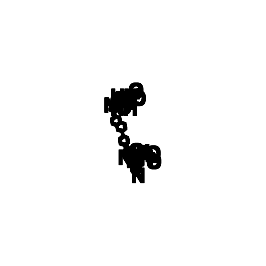 C=C1[C@@H](C#N)CN(C(=O)[C@@H](NC(=O)OC)C(C)C)[C@@H]1c1ncc(-c2ccc(-c3ccc4cc(-c5cnc([C@@H]6CCCN6C(=O)[C@@H](NC(=O)OC)C(C)C)[nH]5)ccc4c3)cc2)[nH]1